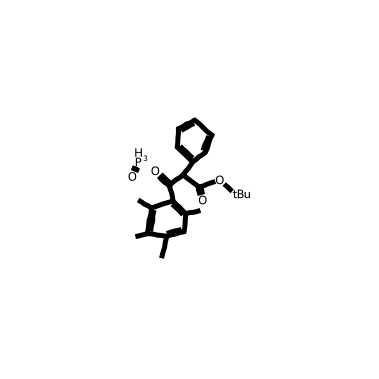 Cc1cc(C)c(C(=O)C(C(=O)OC(C)(C)C)c2ccccc2)c(C)c1C.O=[PH3]